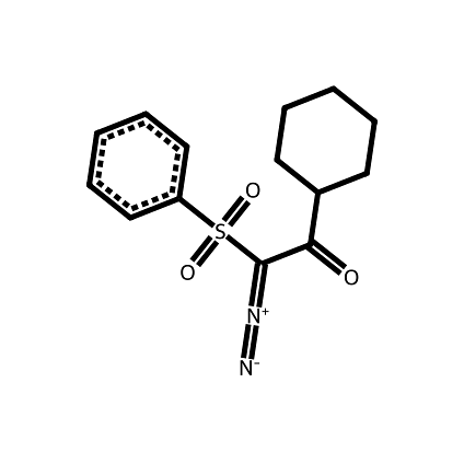 [N-]=[N+]=C(C(=O)C1CCCCC1)S(=O)(=O)c1ccccc1